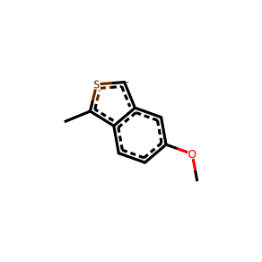 COc1ccc2c(C)s[c]c2c1